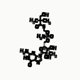 CC(C)(CO)C(=O)SCOP(N)(=O)OC[C@H]1O[C@@H](n2cnc3c(=O)[nH]c(N)nc32)[C@](C)(O)[C@@H]1O